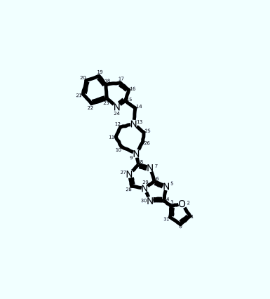 c1coc(-c2nc3nc(N4CCCN(Cc5ccc6ccccc6n5)CC4)ncn3n2)c1